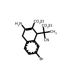 CCOC(=O)C1=C(N)Cc2ccc(Br)cc2C1C(C)(C#N)C(=O)OCC